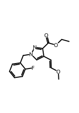 CCOC(=O)c1nn(Cc2ccccc2F)cc1C=COC